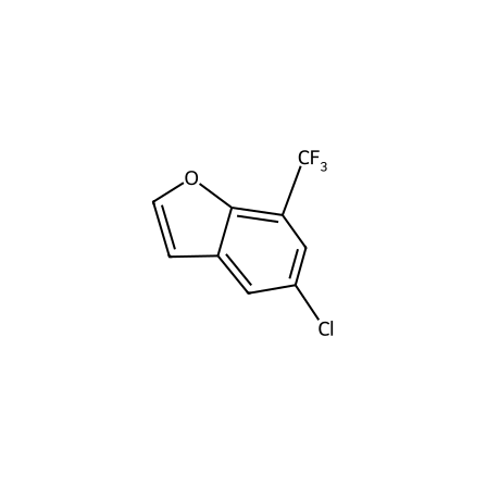 FC(F)(F)c1cc(Cl)cc2ccoc12